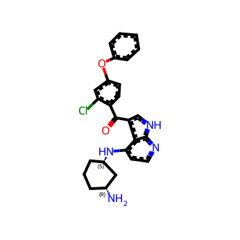 N[C@@H]1CCC[C@H](Nc2ccnc3[nH]cc(C(=O)c4ccc(Oc5ccccc5)cc4Cl)c23)C1